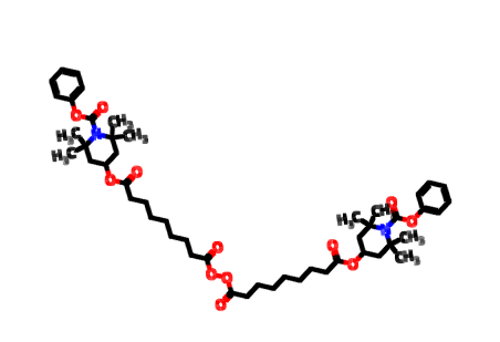 CC1(C)CC(OC(=O)CCCCCCCC(=O)OOC(=O)CCCCCCCC(=O)OC2CC(C)(C)N(C(=O)Oc3ccccc3)C(C)(C)C2)CC(C)(C)N1C(=O)Oc1ccccc1